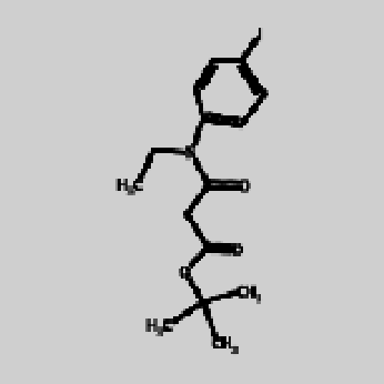 CCN(C(=O)CC(=O)OC(C)(C)C)c1ccc(I)cc1